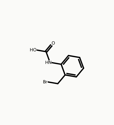 O=C(O)Nc1ccccc1CBr